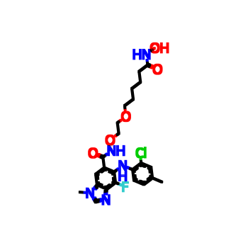 Cc1ccc(Nc2c(C(=O)NOCCOCCCCCC(=O)NO)cc3c(ncn3C)c2F)c(Cl)c1